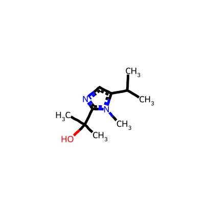 CC(C)c1cnc(C(C)(C)O)n1C